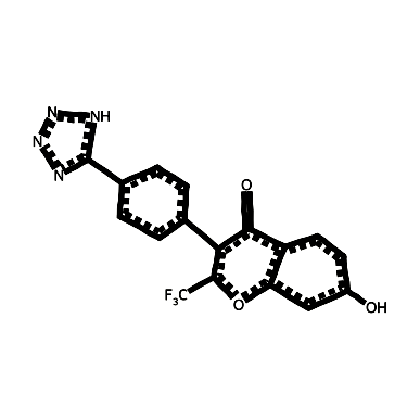 O=c1c(-c2ccc(-c3nnn[nH]3)cc2)c(C(F)(F)F)oc2cc(O)ccc12